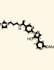 C=C(NCCCn1ccnc1)c1ccc(-n2ncc(-c3ccnc(OC)c3)c2O)nc1